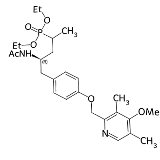 CCOP(=O)(OCC)C(C)C[C@@H](Cc1ccc(OCc2ncc(C)c(OC)c2C)cc1)NC(C)=O